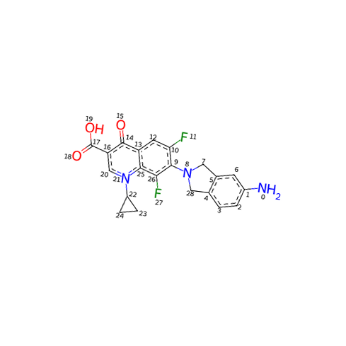 Nc1ccc2c(c1)CN(c1c(F)cc3c(=O)c(C(=O)O)cn(C4CC4)c3c1F)C2